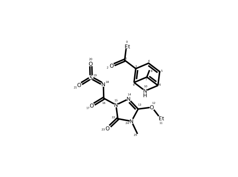 CCC(=O)c1ccc2c(C)c1N2.CCOc1nn(C(=O)N=S(=O)=O)c(=O)n1C